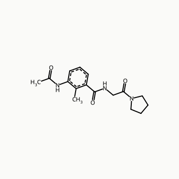 CC(=O)Nc1cccc(C(=O)NCC(=O)N2CCCC2)c1C